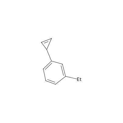 CCc1cccc(C2C=C2)c1